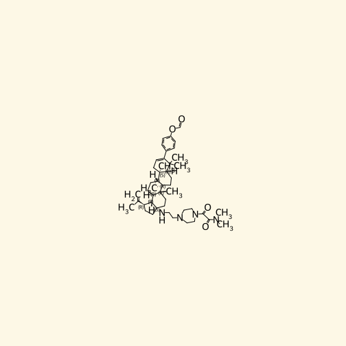 C=C(C)[C@@H]1CC[C@]2(NCCN3CCN(C(=O)C(=O)N(C)C)CC3)CC[C@]3(C)[C@H](CC[C@@H]4[C@@]5(C)CC=C(c6ccc(OC=O)cc6)C(C)(C)[C@@H]5CC[C@]43C)[C@@H]12